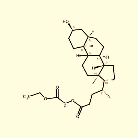 C[C@H](CCC(=O)ONC(=O)OCC(Cl)(Cl)Cl)[C@H]1CC[C@H]2[C@@H]3CC[C@@H]4C[C@H](O)CC[C@]4(C)[C@H]3CC[C@]12C